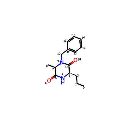 CCC[C@@H]1NC(=O)C(C)N(Cc2ccccc2)C1=O